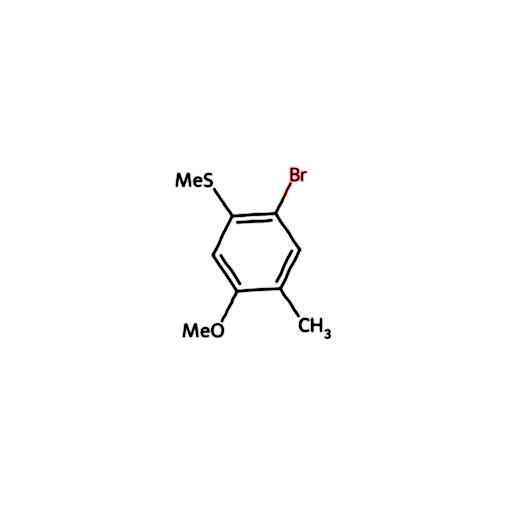 COc1cc(SC)c(Br)cc1C